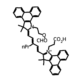 CCCC(/C=C/C1=[N+](CCC(=O)O)c2c(c3ccccc3c3ccccc23)C1(C)C)=C\C=C1/N(CCOC=O)c2c(c3ccccc3c3ccccc23)C1(C)C